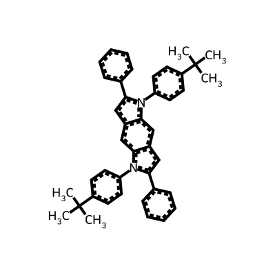 CC(C)(C)c1ccc(-n2c(-c3ccccc3)cc3cc4c(cc(-c5ccccc5)n4-c4ccc(C(C)(C)C)cc4)cc32)cc1